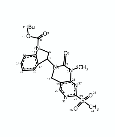 CN1C(=O)N(C2CN(C(=O)OC(C)(C)C)c3ccccc32)Cc2cnc(S(C)(=O)=O)nc21